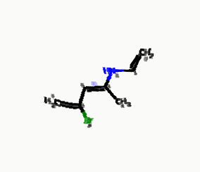 C=CN/C(C)=C/C(=C)Br